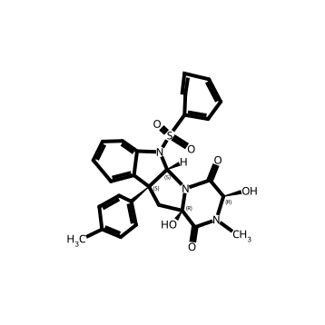 Cc1ccc([C@]23C[C@@]4(O)C(=O)N(C)[C@H](O)C(=O)N4[C@H]2N(S(=O)(=O)c2ccccc2)c2ccccc23)cc1